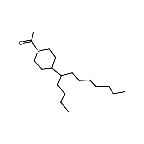 CCCCCCCC(CCCC)C1CCN(C(C)=O)CC1